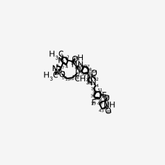 Cc1cc2cc(n1)-c1cnn(C)c1OCCC[C@@H](C)CN1/C(=N/C2=O)Nc2ccc(N3CCN(CCc4cc(F)c([C@H]5CCC(=O)NC5=O)c(F)c4)CC3=O)cc21